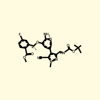 COC(=O)c1ccc(F)cc1[C@@H](C)Oc1cc(-c2c(CNC(=O)OC(C)(C)C)nn(C)c2C#N)cnc1N